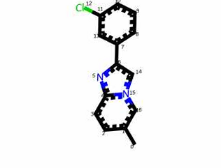 Cc1ccc2nc(-c3cccc(Cl)c3)cn2c1